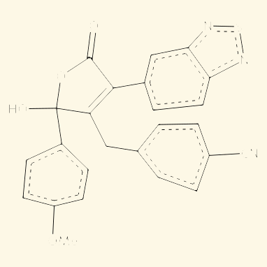 COc1ccc(C2(O)OC(=O)C(c3ccc4nsnc4c3)=C2Cc2ccc(C#N)cc2)cc1